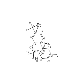 CCC(C)(C)c1ccc2c(c1)OC(C)(C)[C@@H]1CC=C(C)C[C@@H]21